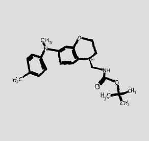 Cc1ccc(N(C)c2ccc3c(c2)OCC[C@H]3CNC(=O)OC(C)(C)C)cc1